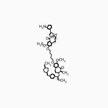 C=C1C(=O)c2cc(OC)c(OCCCCCOc3cc4c(cc3OC)C(=O)N3C=C(c5cccc(N)c5)C[C@H]3/C=C/C=C/4)cc2C=C[C@@H]1C/C(=C\C)c1ccc(C=C2CCC(=CC)CC2)cc1